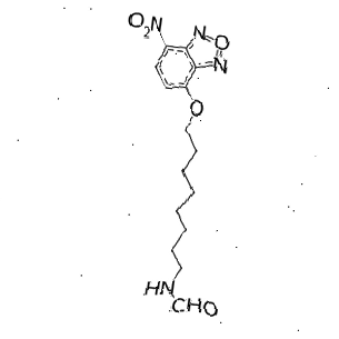 O=CNCCCCCCCCOc1ccc([N+](=O)[O-])c2nonc12